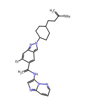 C=C(CCC1CCC(n2cc3cc(C(=C)Nc4cnc5cccnn45)c(CC)cc3n2)CC1)NC